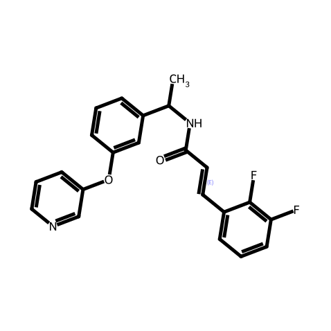 CC(NC(=O)/C=C/c1cccc(F)c1F)c1cccc(Oc2cccnc2)c1